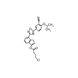 CC(C)Oc1ccc(-c2nc(-c3cccc4c3CC=C4OC(=O)CCCCl)no2)cc1C#N